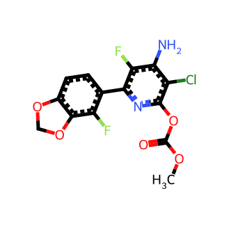 COC(=O)Oc1nc(-c2ccc3c(c2F)OCO3)c(F)c(N)c1Cl